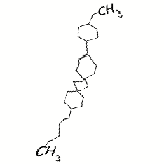 CCCCCC1CCC2(CC1)CC1(CCC(C3CCC(CC)CC3)CC1)C2